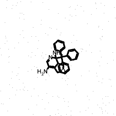 NC1=C2COCC2C(N)(C(c2ccccc2)(c2ccccc2)c2ccccc2)N=C1